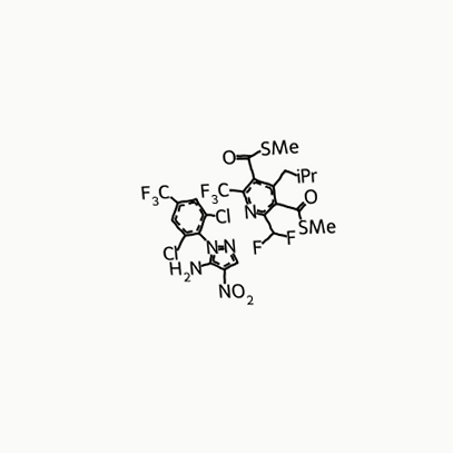 CSC(=O)c1c(C(F)F)nc(C(F)(F)F)c(C(=O)SC)c1CC(C)C.Nc1c([N+](=O)[O-])cnn1-c1c(Cl)cc(C(F)(F)F)cc1Cl